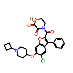 O=C1[SH4]CCN(C(=O)c2oc3cc(OC4CCN(C5CCC5)CC4)c(Cl)cc3c2-c2ccccc2)C1=O